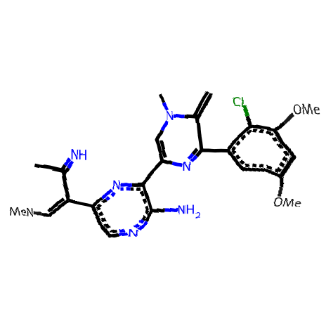 C=C1C(c2cc(OC)cc(OC)c2Cl)=NC(c2nc(/C(=C/NC)C(C)=N)cnc2N)=CN1C